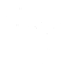 COC(=O)CC1C2CC(CC2(F)F)N1C(=O)OC(C)(C)C